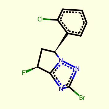 F[C@H]1C[C@@H](c2ccccc2Cl)n2nc(Br)nc21